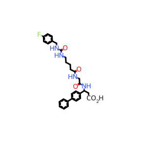 O=C(O)CC(NC(=O)CNC(=O)CCCCNC(=O)NCc1ccc(F)cc1)c1ccc(-c2ccccc2)cc1